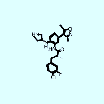 Cc1noc(C)c1-c1ccc(N[C@H]2CCNC2)c(NC(=O)[C@H](C)Cc2ccc(Cl)c(F)c2)c1